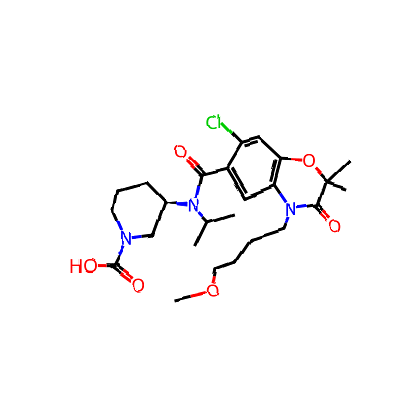 COCCCCN1C(=O)C(C)(C)Oc2cc(Cl)c(C(=O)N(C(C)C)[C@@H]3CCCN(C(=O)O)C3)cc21